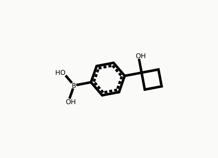 OB(O)c1ccc(C2(O)CCC2)cc1